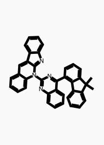 CC1(C)c2ccccc2-c2c(-c3nc(-n4c5nc6ccccc6c-5cc5ccccc54)nc4ccccc34)cccc21